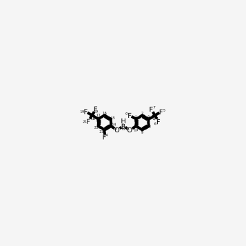 Fc1cc(C(F)(F)F)ccc1OBOc1ccc(C(F)(F)F)cc1F